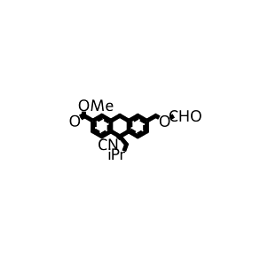 [C-]#[N+]C1(CC(C)C)c2ccc(COC=O)cc2Cc2cc(C(=O)OC)ccc21